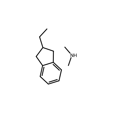 CCC1Cc2ccccc2C1.CNC